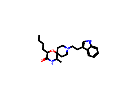 CCCCC1OC2(CCN(CCc3c[nH]c4ccccc34)CC2)C(C)NC1=O